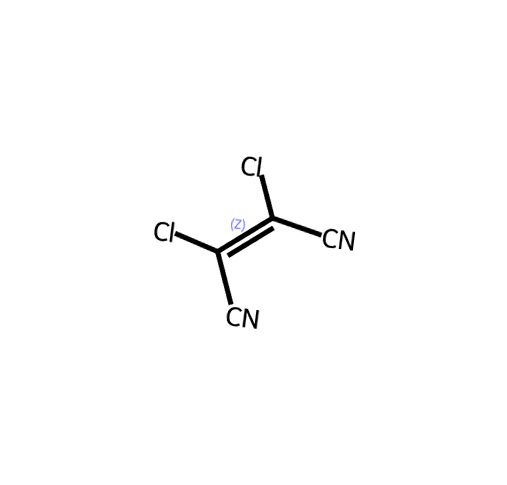 N#C/C(Cl)=C(/Cl)C#N